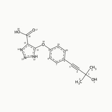 CC(C)(O)C#Cc1ccc(Oc2[nH]nnc2C(=O)O)cc1